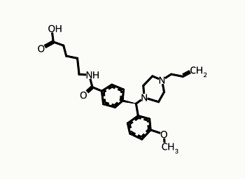 C=CCN1CCN([C@H](c2ccc(C(=O)NCCCCC(=O)O)cc2)c2cccc(OC)c2)CC1